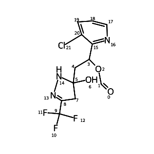 O=COC(CC1(O)CC(C(F)(F)F)=NN1)c1ncccc1Cl